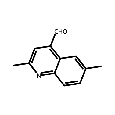 Cc1ccc2nc(C)cc(C=O)c2c1